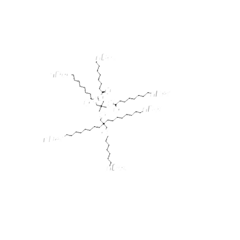 CCCCCCCCCCCCCCCCCCC(CCCCCCCCCCCCCCCCCC)(COCCCCCCCCCCCCCCCCC)COCC(COC(=O)CCCCCCCCCCCCCCCCC)(COC(=O)CCCCCCCCCCCCCCCCC)COC(=O)CCCCCCCCCCCCCCCCC